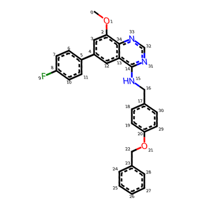 COc1cc(-c2ccc(F)cc2)cc2c(NCc3ccc(OCc4ccccc4)cc3)ncnc12